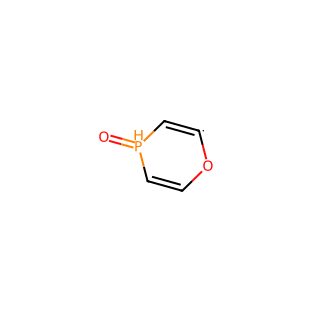 O=[PH]1C=[C]OC=C1